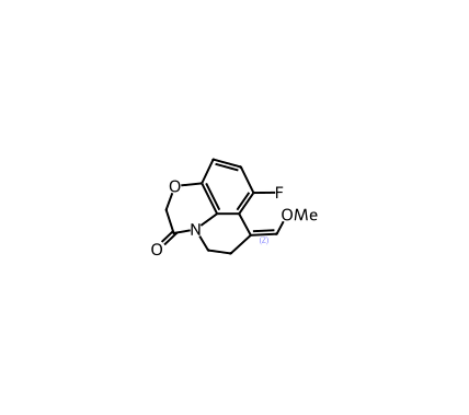 CO/C=C1/CCN2C(=O)COc3ccc(F)c1c32